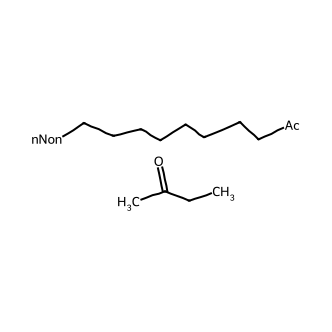 CCC(C)=O.CCCCCCCCCCCCCCCCCC(C)=O